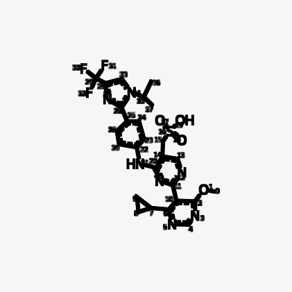 COc1ncnc(C2CC2)c1-c1ncc(CS(=O)(=O)O)c(Nc2ccc(-c3nc(C(F)(F)F)cn3C(C)C)cc2)n1